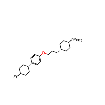 CCCCC[C@H]1CC[C@H](CCCOc2ccc([C@H]3CC[C@H](CC)CC3)cc2)CC1